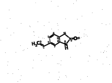 C=Cc1ccc2c(c1)NC(=O)C2